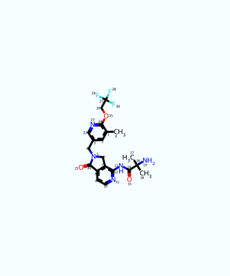 Cc1cc(CN2Cc3c(ccnc3NC(=O)C(C)(C)N)C2=O)cnc1OCC(F)(F)F